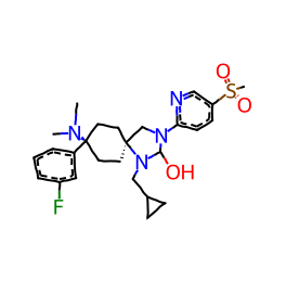 CN(C)[C@]1(c2cccc(F)c2)CC[C@]2(CC1)CN(c1ccc(S(C)(=O)=O)cn1)C(O)N2CC1CC1